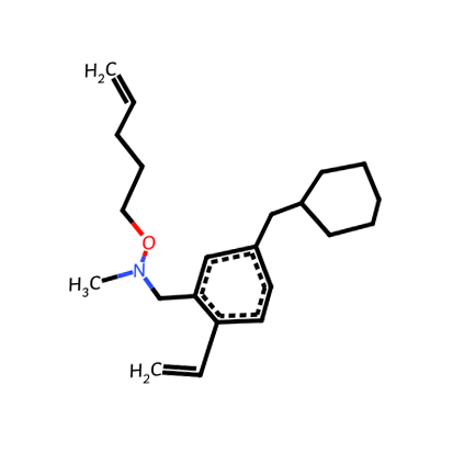 C=CCCCON(C)Cc1cc(CC2CCCCC2)ccc1C=C